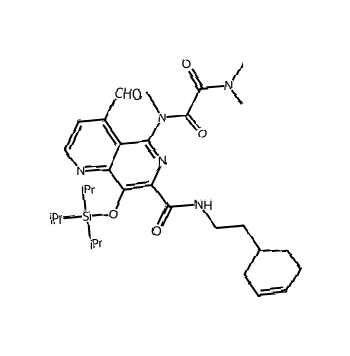 CC(C)[Si](Oc1c(C(=O)NCCC2CC=CCC2)nc(N(C)C(=O)C(=O)N(C)C)c2c(C=O)ccnc12)(C(C)C)C(C)C